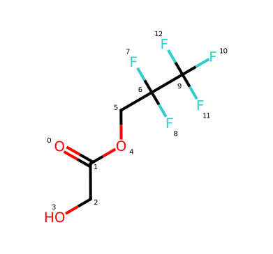 O=C(CO)OCC(F)(F)C(F)(F)F